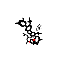 Cc1cc(C)cc(-c2cc3c(cc2C(C)(C)C)-c2cc(C(C)(C)C)c(-c4cc(C)cc(C)c4)[c]([Zr+2](=[C](CC(C)C)CC(C)C)[CH]4C=CC=C4)c2C3)c1.[Cl-].[Cl-]